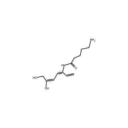 C=C/C(=C\C=C(\O)CO)NC(=O)CCCCN